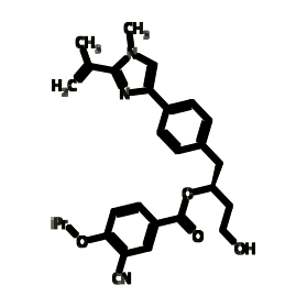 C=C(C)c1nc(-c2ccc(C[C@@H](CCO)OC(=O)c3ccc(OC(C)C)c(C#N)c3)cc2)cn1C